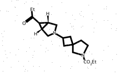 CCOC(=O)N1CCC2(CC(N3C[C@@H]4C(C(=O)CC)[C@@H]4C3)C2)C1